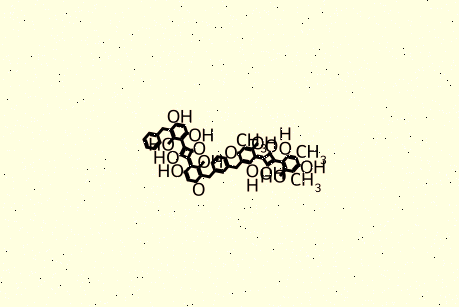 CC1=C(O)/C(=C2\C(=O)C(c3c(O)c(C)c(O)c(C)c3O)=C2O)C(O)=C(Cc2cccc(CC3=C(O)/C(=C4\C(=O)C(c5c(O)cc(O)c(Cc6ccccc6)c5O)=C4O)C(O)=CC3=O)c2)C1=O